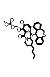 CCCCC1CCN2C(=O)c3c(OCOC(=O)OC)c(=O)ccn3N([C@@H]3c4ccccc4SCc4cccc(F)c43)C2C1